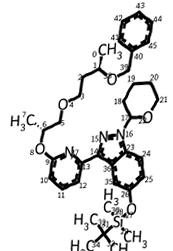 C[C@H](CCOC[C@@H](C)Oc1cccc(-c2nn(C3CCCCO3)c3ccc(O[Si](C)(C)C(C)(C)C)cc23)n1)OCc1ccccc1